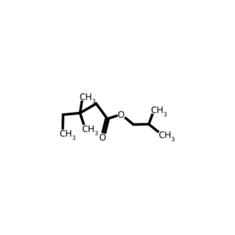 CCC(C)(C)CC(=O)OCC(C)C